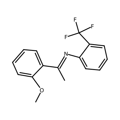 COc1ccccc1C(C)=Nc1ccccc1C(F)(F)F